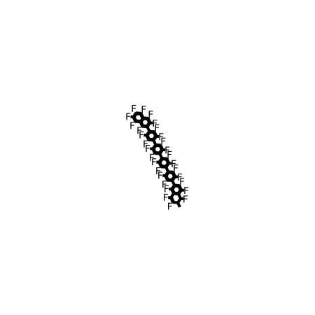 CC1C(F)=C(F)c2c(F)c(-c3c(F)c(F)c(-c4c(F)c(F)c(-c5c(F)c(F)c(-c6c(F)c(F)c(-c7c(F)c(F)c8c(F)c(F)c(F)c(F)c8c7F)c(F)c6F)c(F)c5F)c(F)c4F)c(F)c3F)c(F)c(F)c2C1F